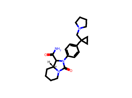 NC(=O)C1[C@H]2[CH]CCCN2C(=O)N1c1ccc(C2(CN3CCCC3)CC2)cc1